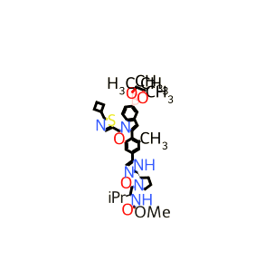 COC(=O)N[C@H](C(=O)N1CCC[C@H]1c1ncc(-c2cc(C)c3c(c2)OC(c2cnc(C4CCC4)s2)n2c-3cc3cc(B4OC(C)(C)C(C)(C)O4)ccc32)[nH]1)C(C)C